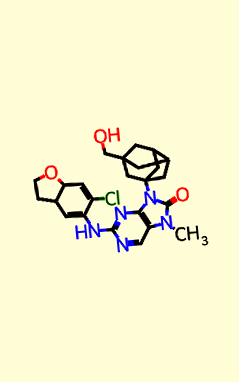 Cn1c(=O)n(C23CC4CC(CO)(CC4C2)C3)c2nc(NC3=CC4CCOC4C=C3Cl)ncc21